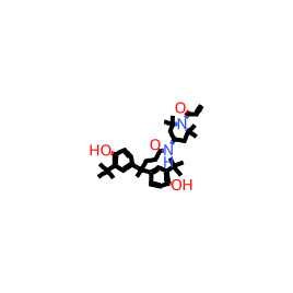 C=CC(=O)N1C(C)(C)CC(NC(=O)CCC(C)(c2ccc(O)c(C(C)(C)C)c2)c2ccc(O)c(C(C)(C)C)c2)CC1(C)C